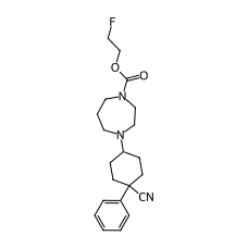 N#CC1(c2ccccc2)CCC(N2CCCN(C(=O)OCCF)CC2)CC1